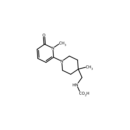 Cn1c(N2CCC(C)(CNC(=O)O)CC2)cccc1=O